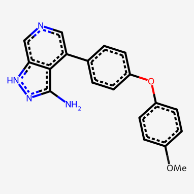 COc1ccc(Oc2ccc(-c3cncc4[nH]nc(N)c34)cc2)cc1